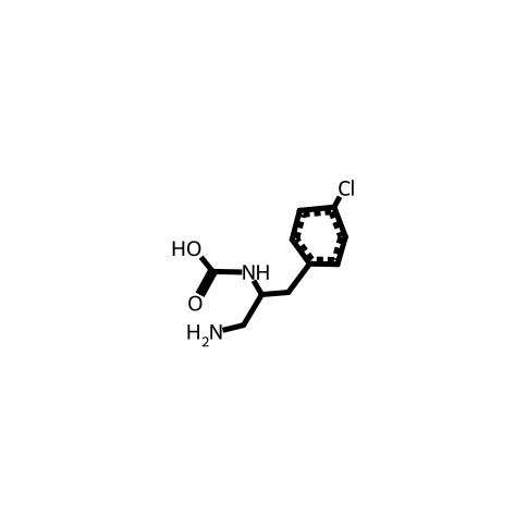 NCC(Cc1ccc(Cl)cc1)NC(=O)O